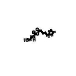 C[C@@]1(CCCCC(=O)OC(=O)NCCS)CCSS1